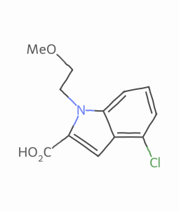 COCCn1c(C(=O)O)cc2c(Cl)cccc21